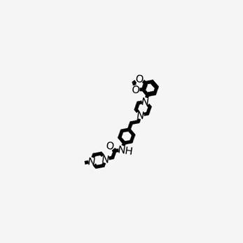 CN1CCN(CC(=O)NC2CCC(CCN3CCN(c4cccc5c4OCO5)CC3)CC2)CC1